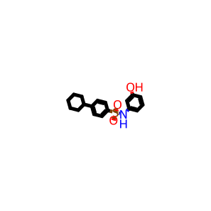 O=S(=O)(Nc1cccc(O)c1)c1ccc(C2CCCCC2)cc1